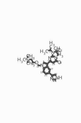 CC(C)N1c2nc(-c3cn(COCC[Si](C)(C)C)c4ccc(-c5c[nH]nn5)cc34)cc(=O)n2CC1(C)C